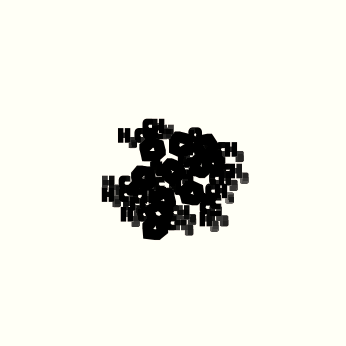 Cc1cc2c(cc1N1c3ccc(C(C)(C)C)cc3B3c4cc5c(cc4N(c4cccc6oc7ccccc7c46)c4cc(N(c6ccc(C(C)(C)C)cc6)c6ccc(C(C)(C)C)cc6)cc1c43)C(C)(C)CC5(C)C)C(C)(C)c1ccccc1C2(C)C